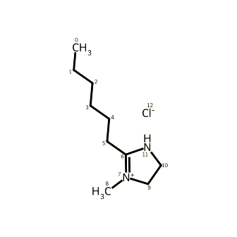 CCCCCCC1=[N+](C)CCN1.[Cl-]